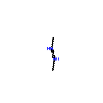 C=CCCCCCCCCCNc1ccc(CCc2ccc(NCCCCCCCCCC=C)cc2)cc1